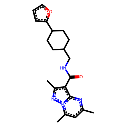 Cc1cc(C)n2nc(C)c(C(=O)NCC3CCC(c4ccco4)CC3)c2n1